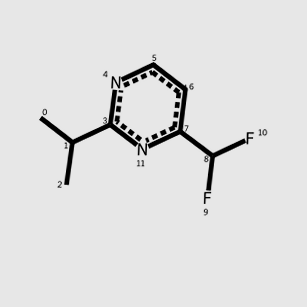 CC(C)c1nc[c]c(C(F)F)n1